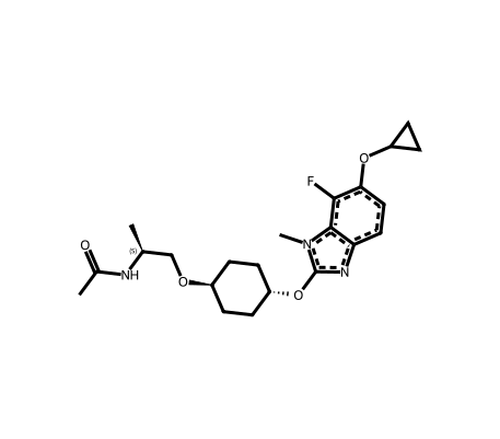 CC(=O)N[C@@H](C)CO[C@H]1CC[C@H](Oc2nc3ccc(OC4CC4)c(F)c3n2C)CC1